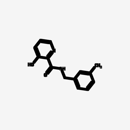 Cc1cccc(CNC(=O)c2ncccc2O)c1